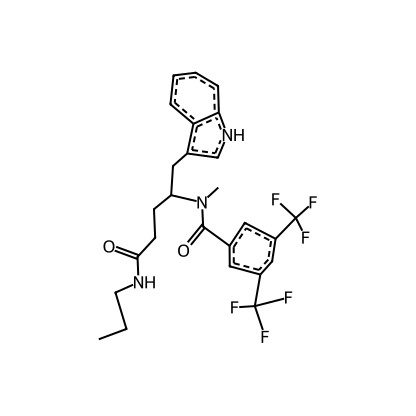 CCCNC(=O)CCC(Cc1c[nH]c2ccccc12)N(C)C(=O)c1cc(C(F)(F)F)cc(C(F)(F)F)c1